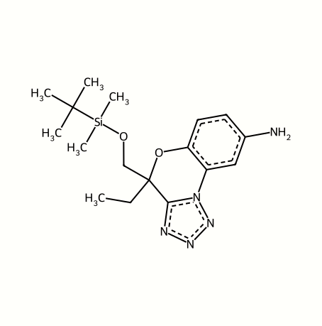 CCC1(CO[Si](C)(C)C(C)(C)C)Oc2ccc(N)cc2-n2nnnc21